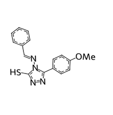 COc1ccc(-c2nnc(S)n2N=Cc2ccccc2)cc1